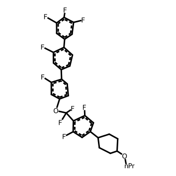 CCCOC1CCC(c2cc(F)c(C(F)(F)Oc3ccc(-c4ccc(-c5cc(F)c(F)c(F)c5)c(F)c4)c(F)c3)c(F)c2)CC1